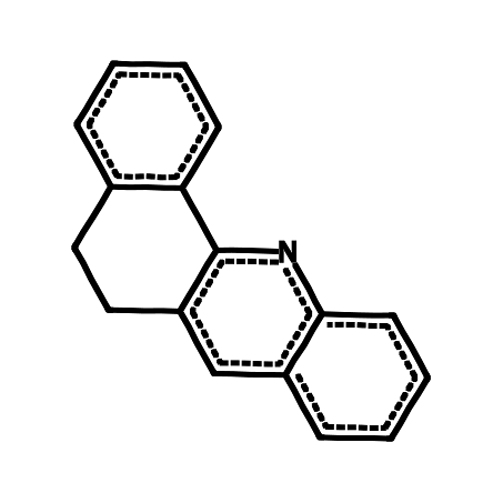 c1ccc2c(c1)CCc1cc3ccccc3nc1-2